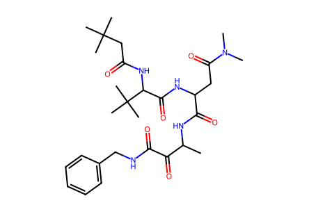 CC(NC(=O)C(CC(=O)N(C)C)NC(=O)C(NC(=O)CC(C)(C)C)C(C)(C)C)C(=O)C(=O)NCc1ccccc1